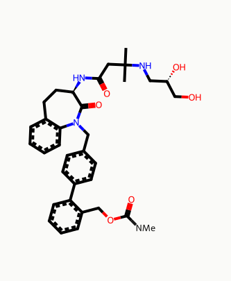 CNC(=O)OCc1ccccc1-c1ccc(CN2C(=O)[C@H](NC(=O)CC(C)(C)NC[C@H](O)CO)CCc3ccccc32)cc1